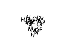 CC(C)c1c2cc(-c3cc(Nc4cc(CS(C)(=O)=O)ccn4)ncc3F)cc(F)c2nn1C